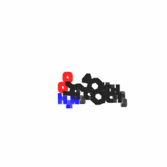 CC1(C)CCC[C@@]2(C)[C@H]1CCC1(CC1)[C@@H]2C/C=C1/C(=O)OC[C@H]1N